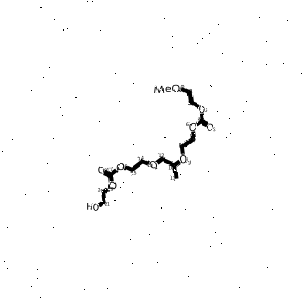 COCCOC(=O)OCCOC(C)COCCOC(=O)OCCO